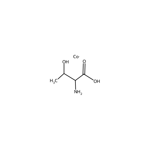 CC(O)C(N)C(=O)O.[Co]